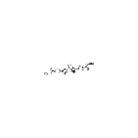 CC(C)(C)OC(=O)N1CCC(n2cc(C(N)c3cn(C4CCN(C(=O)OC(C)(C)C)CC4)nn3)nn2)CC1